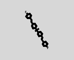 CC(C)(c1ccc(/C=C/c2ccc(F)cc2)cc1)c1ccc(/C=C/c2ccc(F)cc2)cc1